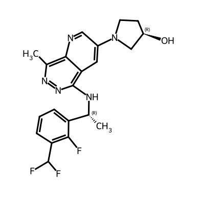 Cc1nnc(N[C@H](C)c2cccc(C(F)F)c2F)c2cc(N3CC[C@@H](O)C3)cnc12